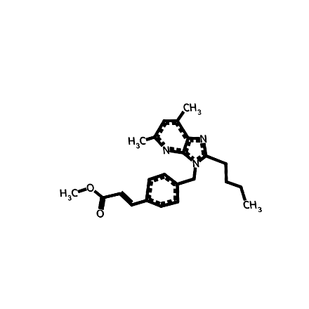 CCCCc1nc2c(C)cc(C)nc2n1Cc1ccc(C=CC(=O)OC)cc1